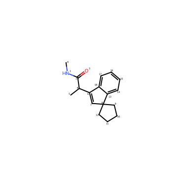 CNC(=O)C(C)C1=CC2(CCCC2)c2ccccc21